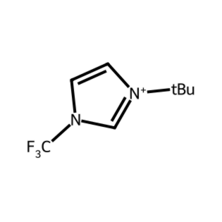 CC(C)(C)[n+]1ccn(C(F)(F)F)c1